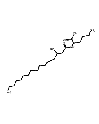 CCCCCCCCCCCCCC(O)CC(=O)NC(CCCN)C(=O)O